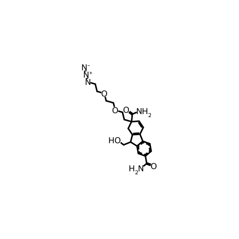 [N-]=[N+]=NCCOCCOCCC1(C(N)=O)C=CC2=C(C1)C(CO)c1cc(C(N)=O)ccc12